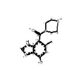 Cc1nc(Cl)c2nc[nH]c2c1C(=O)N1CCOCC1